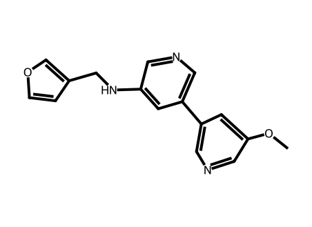 COc1cncc(-c2cncc(NCc3ccoc3)c2)c1